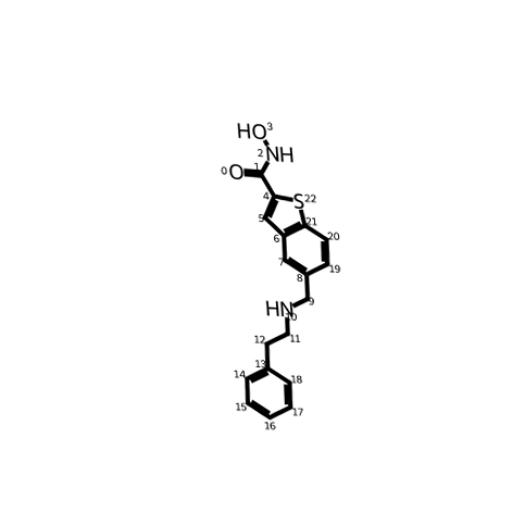 O=C(NO)c1cc2cc(CNCCc3ccccc3)ccc2s1